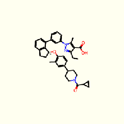 CCc1nn(-c2cccc(-c3cccc4c3[C@@H](Oc3ccc(C5CCN(C(=O)C6CC6)CC5)cc3C)CC4)c2)c(C)c1C(=O)O